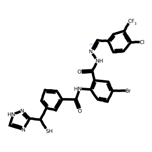 O=C(Nc1ccc(Br)cc1C(=O)N/N=C\c1ccc(Cl)c(C(F)(F)F)c1)c1cccc(C(S)c2nc[nH]n2)c1